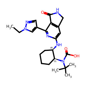 CCn1cc(-c2nc(N[C@@H]3CCCC[C@@H]3N(C(=O)O)C(C)(C)C)cc3c2C(=O)NC3)cn1